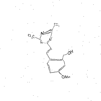 COc1ccc(C=Cc2nc(C(Cl)(Cl)Cl)nc(C(Cl)(Cl)Cl)n2)c(CO)c1